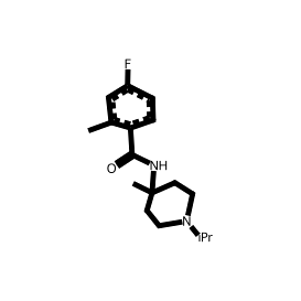 Cc1cc(F)ccc1C(=O)NC1(C)CCN(C(C)C)CC1